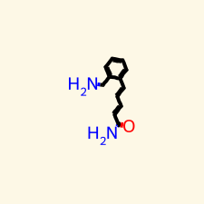 NCc1ccccc1C=CC=CC(N)=O